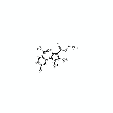 CCOC(=O)c1cc(-c2cc(Cl)ccc2C(=O)O)n(C)c1C